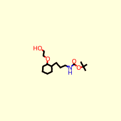 CC(C)(C)OC(=O)NCCCC1CCCCC1OCCO